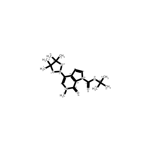 Cn1cc(B2OC(C)(C)C(C)(C)O2)c2ccn(C(=O)OC(C)(C)C)c2c1=O